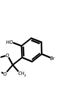 CC1(c2cc(Br)ccc2O)OCCO1